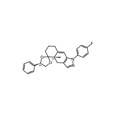 C[C@]12Cc3cnn(-c4ccc(F)cc4)c3C=C1CCCC21OC[C@@H](c2ccccc2)O1